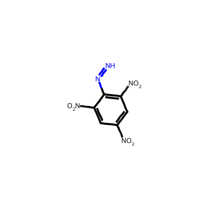 N=Nc1c([N+](=O)[O-])cc([N+](=O)[O-])cc1[N+](=O)[O-]